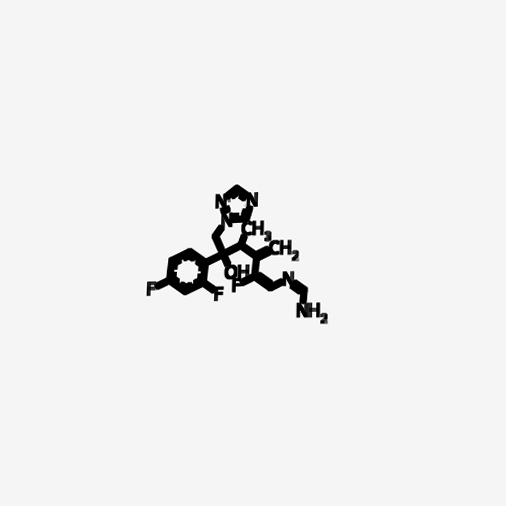 C=C(/C(F)=C\N=C/N)C(C)C(O)(Cn1cncn1)c1ccc(F)cc1F